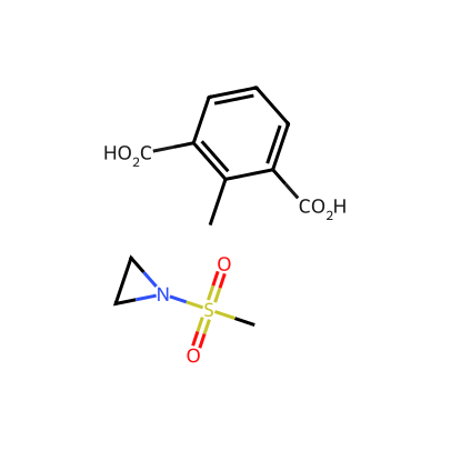 CS(=O)(=O)N1CC1.Cc1c(C(=O)O)cccc1C(=O)O